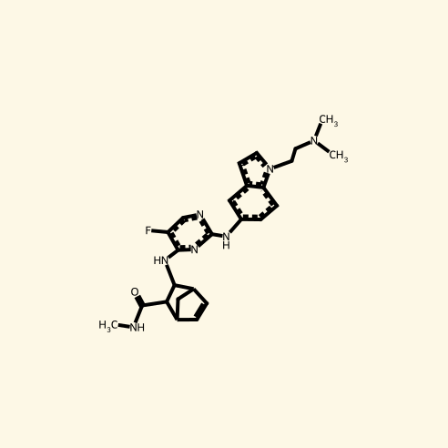 CNC(=O)C1C2C=CC(C2)C1Nc1nc(Nc2ccc3c(ccn3CCN(C)C)c2)ncc1F